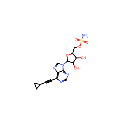 NS(=O)(=O)OCC1OC(n2cnc3c(C#CC4CC4)ncnc32)C(O)C1O